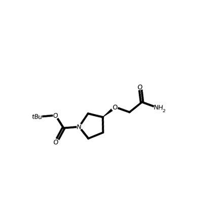 CC(C)(C)OC(=O)N1CC[C@H](OCC(N)=O)C1